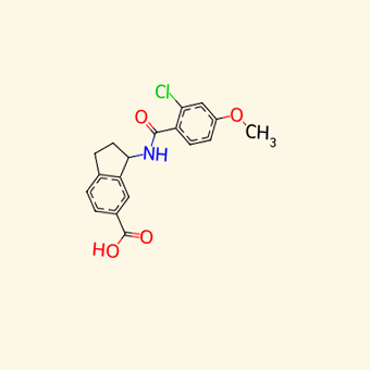 COc1ccc(C(=O)NC2CCc3ccc(C(=O)O)cc32)c(Cl)c1